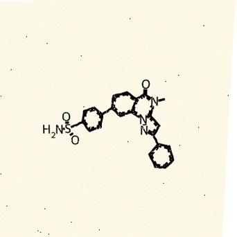 Cn1c(=O)c2ccc(-c3ccc(S(N)(=O)=O)cc3)cc2n2nc(-c3ccccc3)cc12